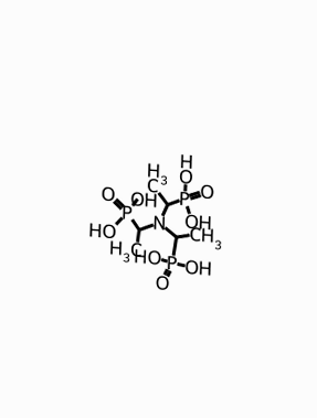 CC(N(C(C)P(=O)(O)O)C(C)P(=O)(O)O)P(=O)(O)O